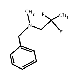 CN(Cc1ccccc1)CC(C)(F)F